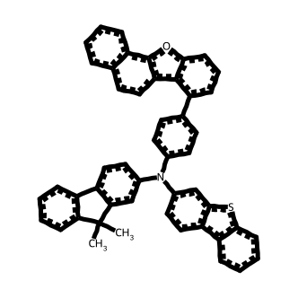 CC1(C)c2ccccc2-c2ccc(N(c3ccc(-c4cccc5oc6c7ccccc7ccc6c45)cc3)c3ccc4c(c3)sc3ccccc34)cc21